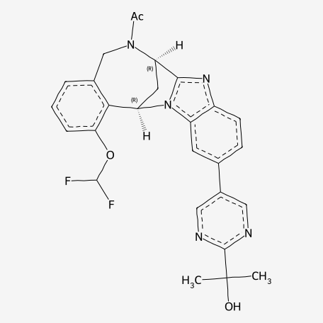 CC(=O)N1Cc2cccc(OC(F)F)c2[C@H]2C[C@@H]1c1nc3ccc(-c4cnc(C(C)(C)O)nc4)cc3n12